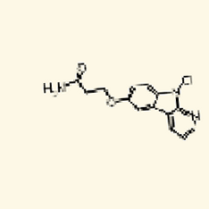 NC(=O)CCOc1ccc2c(c1)c1cccnc1n2Cl